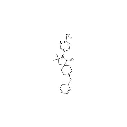 CC1(C)CC2(CCN(Cc3ccccc3)CC2)C(=O)N1c1ccc(C(F)(F)F)nc1